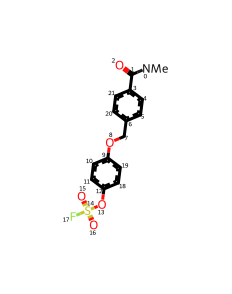 CNC(=O)c1ccc(COc2ccc(OS(=O)(=O)F)cc2)cc1